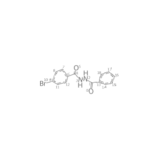 O=C(NNC(=O)c1ccc(Br)cc1)c1ccccc1